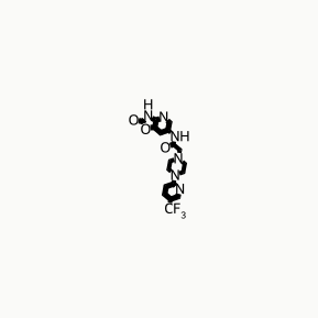 O=C(CN1CCN(c2ccc(C(F)(F)F)cn2)CC1)Nc1cnc2[nH]c(=O)oc2c1